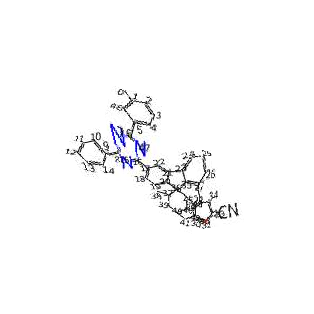 Cc1cccc(-c2nc(-c3ccccc3)nc(-c3ccc4c(c3)-c3cccc(-c5cccc(C#N)c5)c3C43C(C)CC4CC(C)CC3C4)n2)c1